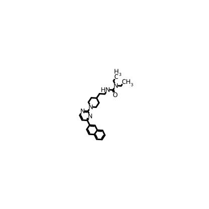 CCN(CC)C(=O)NCCC1CCN(c2nccc(-c3ccc4ccccc4c3)n2)CC1